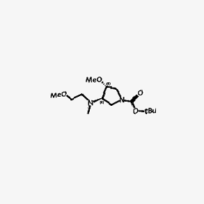 COCCN(C)[C@@H]1CN(C(=O)OC(C)(C)C)C[C@H]1OC